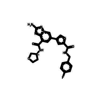 Nc1nc2c(C(=O)N[C@H]3CCOC3)cc(-c3csc(C(=O)NCc4ccc(F)cc4)c3)cn2n1